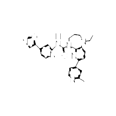 CCN1CCCN(C(=O)Nc2cc(-c3cnco3)ccn2)c2nc(-c3ccnc(C)c3)ccc21